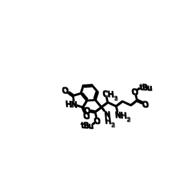 CC(C(N)CCC(=O)OC(C)(C)C)C(N)(C(=O)OC(C)(C)C)c1cccc2c1C(=O)NC2=O